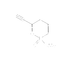 C#CC1CCCP(=S)(SC)O1